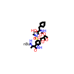 CCCCNC(C)=C1C(=O)Nc2ccc(S(=O)(=O)N(CC(C)C)CC(O)C(Cc3ccccc3)NC(=O)OC3COC4OCCC34)cc21